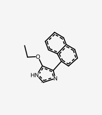 CCOc1[nH][c]nc1-c1cccc2ccccc12